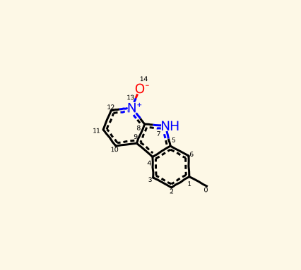 Cc1ccc2c(c1)[nH]c1c2ccc[n+]1[O-]